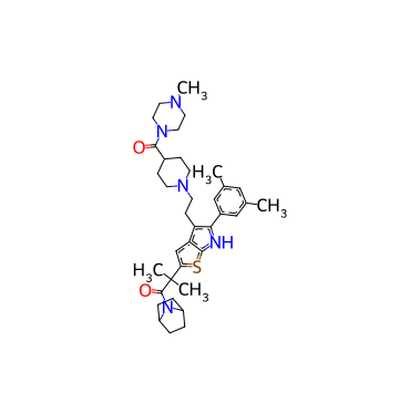 Cc1cc(C)cc(-c2[nH]c3sc(C(C)(C)C(=O)N4C5CCC4CC5)cc3c2CCN2CCC(C(=O)N3CCN(C)CC3)CC2)c1